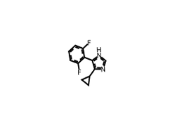 Fc1cccc(F)c1-c1[nH]cnc1C1CC1